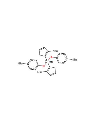 [CH2]=[Zr]([O]c1ccc(C(C)(C)C)cc1)([O]c1ccc(C(C)(C)C)cc1)([C]1=C(CCCC)C=CC1)[C]1=C(CCCC)C=CC1